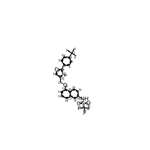 CC(C)(C)c1ccc(-c2nc(COc3cccc4cc(NS(=O)(=O)C(F)(F)F)ccc34)co2)cc1